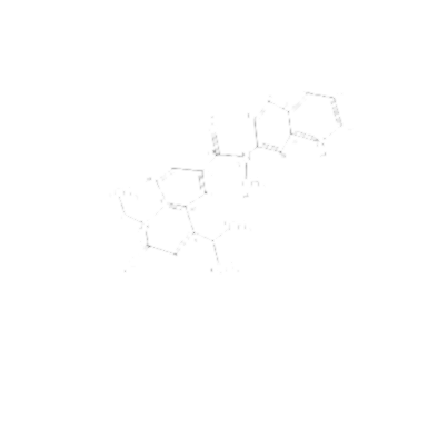 CCn1c(=O)cc(C(C)C)c2cc(C(=O)N(C)c3ccc4cccnc4c3)ccc21